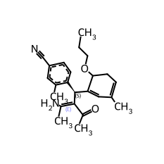 CCCOC1CC=C(C)C=C1[C@@H](/C(C(C)=O)=C(/C)N)c1ccc(C#N)cc1C